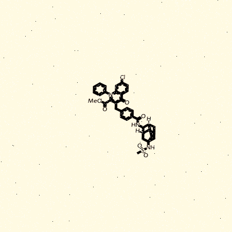 COC(=O)c1c(Cc2ccc(C(=O)NC3[C@@H]4CC5C[C@H]3CC(NS(C)(=O)=O)(C5)C4)cc2)c(=O)c2ccc(Cl)cc2n1-c1ccccc1